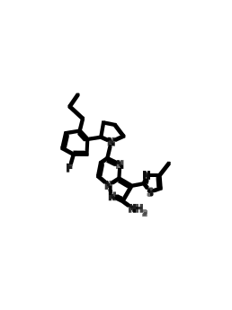 CCCc1ccc(F)cc1C1CCCN1c1ccn2nc(N)c(-c3nc(C)cs3)c2n1